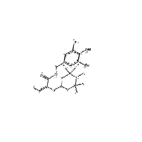 CC=C(OC1CC(C)(C)N(C)C(C)(C)C1)C(=O)OCc1cc(C(C)(C)C)c(O)c(C(C)(C)C)c1